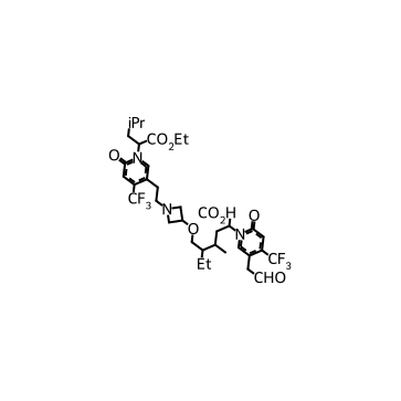 CCOC(=O)C(CC(C)C)n1cc(CCN2CC(OCC(CC)C(C)CC(C(=O)O)n3cc(CC=O)c(C(F)(F)F)cc3=O)C2)c(C(F)(F)F)cc1=O